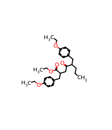 CCCC(Cc1ccc(OCC)cc1)C(=O)CC(Cc1ccc(OCC)cc1)C(=O)OCC